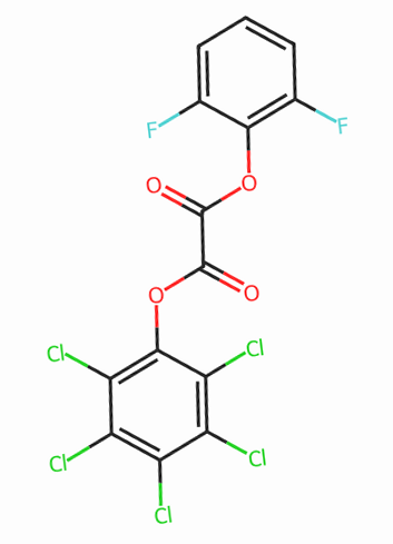 O=C(Oc1c(F)cccc1F)C(=O)Oc1c(Cl)c(Cl)c(Cl)c(Cl)c1Cl